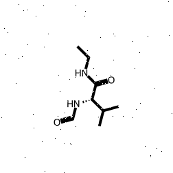 CCNC(=O)[C@@H](NC=O)C(C)C